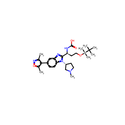 Cc1noc(C)c1-c1ccc2c(c1)nc([C@H](CCO[Si](C)(C)C(C)(C)C)NC(=O)O)n2[C@@H]1CCN(C)C1